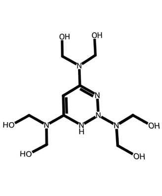 OCN(CO)C1=CC(N(CO)CO)=NN(N(CO)CO)N1